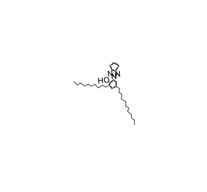 CCCCCCCCCCCCc1cc(CCCCCCCCCC)c(O)c(-n2nc3ccccc3n2)c1